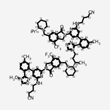 Cc1ccc(-c2nncn2C)c(-c2cc(NCCCC#N)nc(N3Cc4c(cc(CN5CCCC[C@@H]5C(C)CCn5cnnc5-c5ccc(C)cc5-c5cc(NCCCC#N)nc(N6Cc7c(cc(CN8CCCC[C@H]8C(C)C)cc7C(F)(F)F)C6=O)c5)cc4C(F)(F)F)C3=O)c2)c1